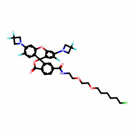 O=C(NCCOCCOCCCCCCCl)c1ccc2c(c1)C1(OC2=O)c2cc(F)c(N3CC(F)(F)C3)cc2Oc2cc(N3CC(F)(F)C3)c(F)cc21